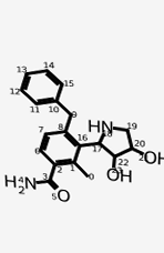 Cc1c(C(N)=O)ccc(Cc2ccccc2)c1C1NCC(O)C1O